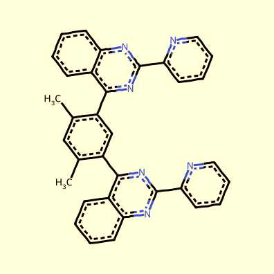 Cc1cc(C)c(-c2nc(-c3ccccn3)nc3ccccc23)cc1-c1nc(-c2ccccn2)nc2ccccc12